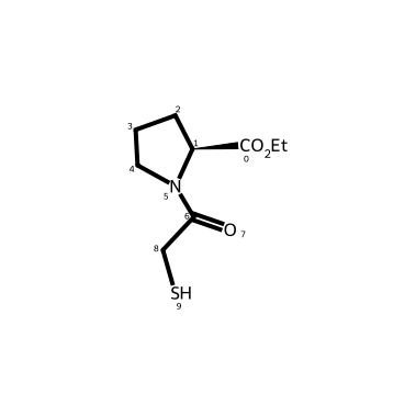 CCOC(=O)[C@@H]1CCCN1C(=O)CS